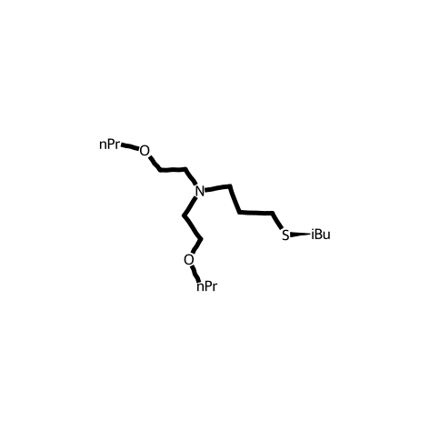 CCCOCCN(CCCS[C@H](C)CC)CCOCCC